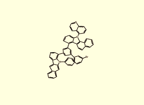 Brc1cccc(-c2cc(-c3cccc4c3c3ccc5ccccc5c3n4-c3cccc4ncccc34)cc(-c3cccc4c5cc6ccccc6cc5n(-c5ccccc5)c34)c2)c1